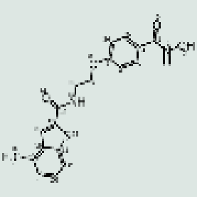 O=C(NO)c1ccc(OCCNC(=O)c2cc3c(C(F)(F)F)cccc3s2)cc1